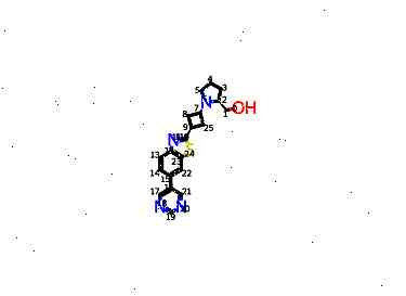 OC[C@@H]1CCCN1[C@H]1C[C@H](c2nc3ccc(-c4cncnc4)cc3s2)C1